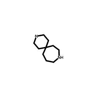 C1CNCCC2(C1)CC[N]CC2